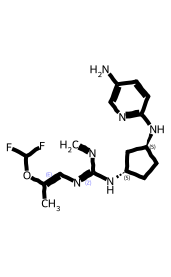 C=N/C(=N\C=C(/C)OC(F)F)N[C@H]1CC[C@H](Nc2ccc(N)cn2)C1